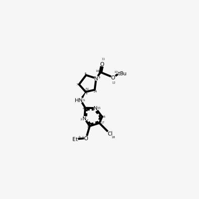 CCOc1nc(N[C@H]2CCN(C(=O)OC(C)(C)C)C2)ncc1Cl